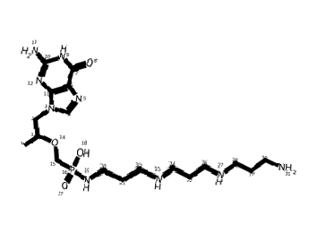 CC(Cn1cnc2c(=O)[nH]c(N)nc21)OCP(=O)(O)NCCCNCCCNCCCN